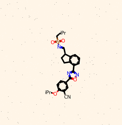 CC(C)CS(=O)(=O)N=CC1CCc2c(-c3noc(-c4ccc(OC(C)C)c(C#N)c4)n3)cccc21